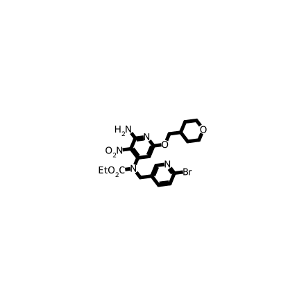 CCOC(=O)N(Cc1ccc(Br)nc1)c1cc(OCC2CCOCC2)nc(N)c1[N+](=O)[O-]